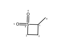 CC1C[CH]S1(=O)=O